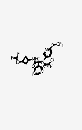 C[C@@](C(=O)NC1CC(OC(F)F)C1)(c1cncnc1)N(C(=O)[C@H](F)Cl)c1ccc(OC(F)(F)F)nc1